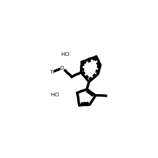 CC1=C(c2ccccc2C[O][Ti])CC=C1.Cl.Cl